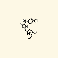 C#CCn1nc(Cc2cc(C)c(C(=O)c3ccc(Cl)cc3)n2C)ccc1=O